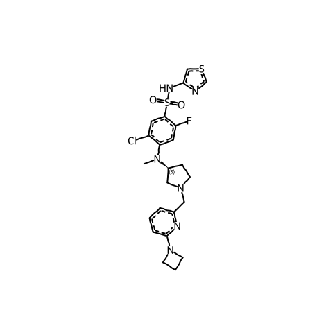 CN(c1cc(F)c(S(=O)(=O)Nc2cscn2)cc1Cl)[C@H]1CCN(Cc2cccc(N3CCC3)n2)C1